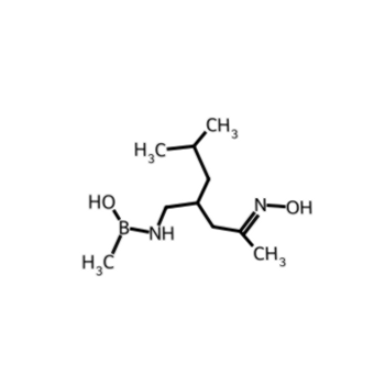 CB(O)NCC(CC(C)=NO)CC(C)C